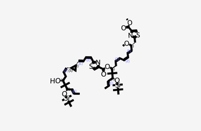 C/C=C/[C@@H](O[Si](C)(C)C(C)(C)C)C(C)(C)[C@H](C\C=C/C=C\C=C\[C@@H](Cc1nc(C(=O)OC)cs1)OC)OC(=O)c1csc(/C=C\C=C\[C@@H]2C[C@@H]2/C=C\C[C@H](O)C(C)(C)[C@@H](/C=C/C)O[Si](C)(C)C(C)(C)C)n1